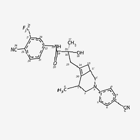 CC1CN(c2ccc(C#N)cc2)CC2CC(C[C@](C)(O)C(=O)Nc3ccc(C#N)c(C(F)(F)F)c3)=C12